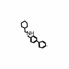 [c]1ccc(-c2ccc(CNCC3CCCCC3)cc2)cc1